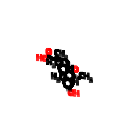 CC[C@H]1C(=O)[C@H]2C3CC[C@H]([C@H](C)CC(=O)O)[C@@]3(C)CCC2[C@@]2(C)CC[C@@H](O)C[C@@H]12